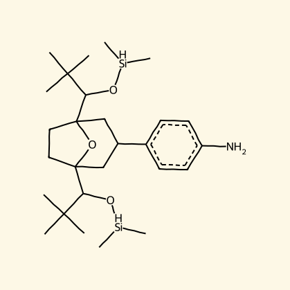 C[SiH](C)OC(C(C)(C)C)C12CCC(C(O[SiH](C)C)C(C)(C)C)(CC(c3ccc(N)cc3)C1)O2